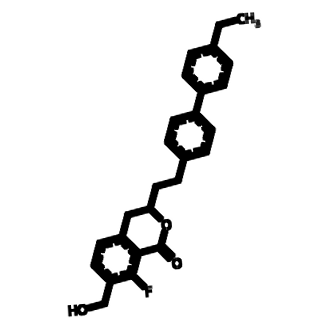 CCc1ccc(-c2ccc(CCC3Cc4ccc(CO)c(F)c4C(=O)O3)cc2)cc1